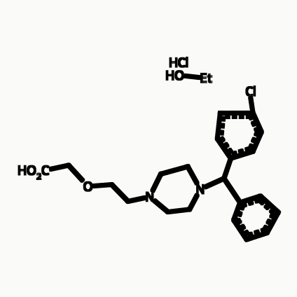 CCO.Cl.O=C(O)COCCN1CCN(C(c2ccccc2)c2ccc(Cl)cc2)CC1